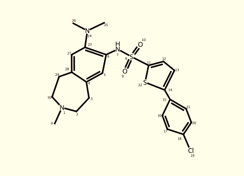 CN1CCc2cc(NS(=O)(=O)c3ccc(-c4ccc(Cl)cc4)s3)c(N(C)C)cc2CC1